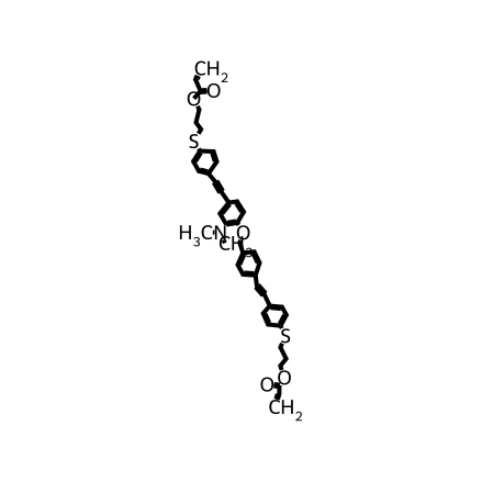 C=CC(=O)OCCCSc1ccc(C#Cc2ccc(COc3ccc(C#Cc4ccc(SCCCOC(=O)C=C)cc4)cc3N(C)C)cc2)cc1